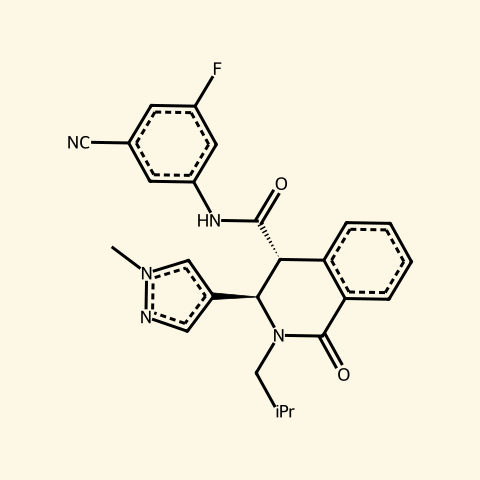 CC(C)CN1C(=O)c2ccccc2[C@@H](C(=O)Nc2cc(F)cc(C#N)c2)[C@@H]1c1cnn(C)c1